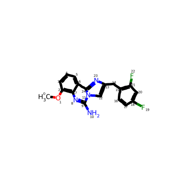 COc1cccc2c1nc(N)n1cc(Cc3ccc(F)cc3F)nc21